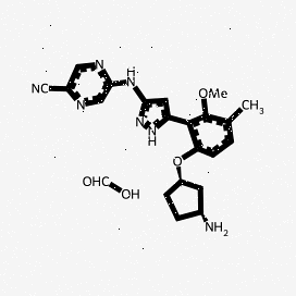 COc1c(C)ccc(O[C@@H]2CC[C@H](N)C2)c1-c1cc(Nc2cnc(C#N)cn2)n[nH]1.O=CO